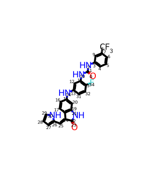 O=C(Nc1cccc(C(F)(F)F)c1)Nc1cc(Nc2ccc3c(c2)NC(=O)C3=Cc2ccc[nH]2)ccc1F